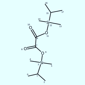 CC(C)[Si](C)(C)OC(=O)C(=O)O[Si](C)(C)C(C)C